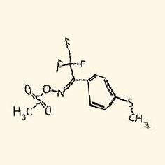 CSc1ccc(C(=NOS(C)(=O)=O)C(F)(F)F)cc1